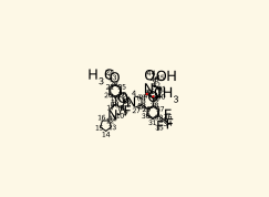 COC[C@H]1CN(C(=O)[C@]2(F)CN(C3CCCC3)C[C@H]2c2ccc(OC)cc2)C[C@@H]1c1ccc(C(F)(F)F)cc1-c1ccc(C(=O)O)nc1